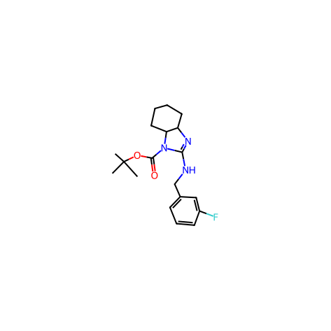 CC(C)(C)OC(=O)N1C(NCc2cccc(F)c2)=NC2CCCCC21